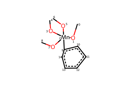 C[O][Mn]([O]C)([O]C)([O]C)[c]1ccccc1